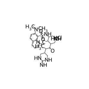 CC(C(=O)C1CNCC(NS(=O)(=O)c2c(N(C)C)ccc3ccccc23)C1C)C1CNC(=N)NC1.Cl.Cl